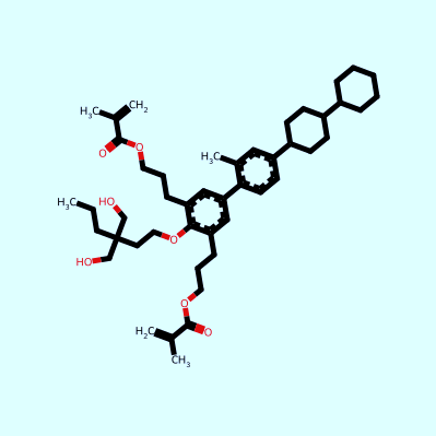 C=C(C)C(=O)OCCCc1cc(-c2ccc(C3CCC(C4CCCCC4)CC3)cc2C)cc(CCCOC(=O)C(=C)C)c1OCCC(CO)(CO)CCC